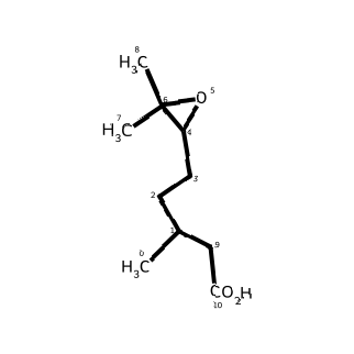 CC(CCC1OC1(C)C)CC(=O)O